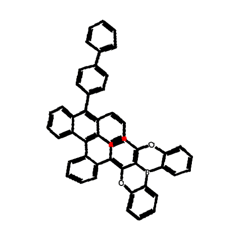 c1ccc(-c2ccc(-c3c4ccccc4c(-c4ccccc4-c4ccc5c6c4Oc4ccccc4B6c4ccccc4O5)c4ccccc34)cc2)cc1